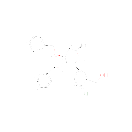 CC[C@H]1O[C@@H](c2ccc(Cl)c(CO)c2)[C@H](OCc2ccccc2)[C@@H](OCc2ccccc2)[C@@H]1C